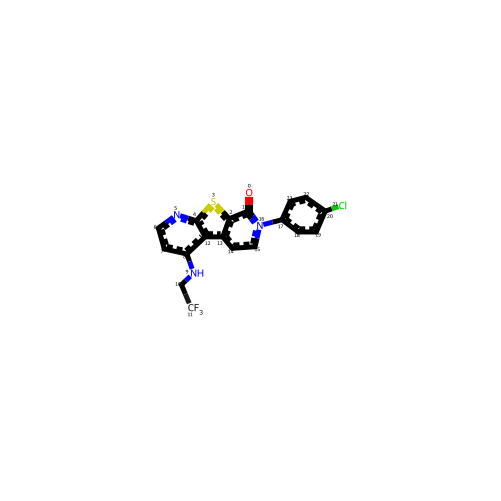 O=c1c2sc3nccc(NCC(F)(F)F)c3c2ccn1-c1ccc(Cl)cc1